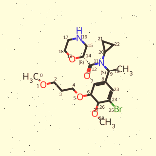 COCCCOC1C=C([C@H](C)N(C(=O)[C@H]2CNCCO2)C2CC2)C=C(Br)C1OC